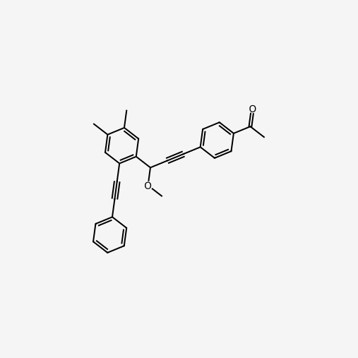 COC(C#Cc1ccc(C(C)=O)cc1)c1cc(C)c(C)cc1C#Cc1ccccc1